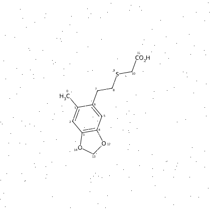 Cc1cc2c(cc1CCSCC(=O)O)OCO2